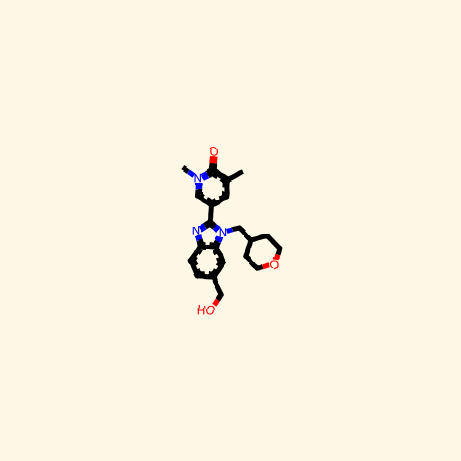 Cc1cc(-c2nc3ccc(CO)cc3n2CC2CCOCC2)cn(C)c1=O